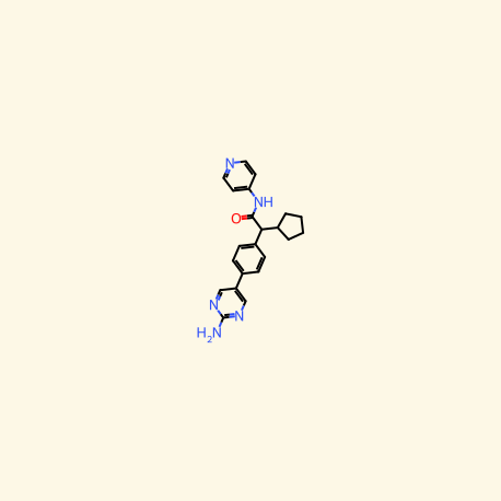 Nc1ncc(-c2ccc(C(C(=O)Nc3ccncc3)C3CCCC3)cc2)cn1